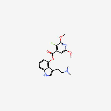 COc1cc(C(=O)Oc2cccc3[nH]cc(CCN(C)C)c23)c(F)c(OC)n1